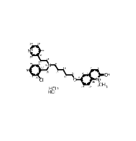 Cl.Cl.Cn1c(=O)ccc2cc(OCCCCCN(CCc3cccnc3)Cc3ccccc3Cl)ccc21